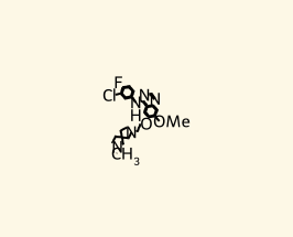 COc1cc2ncnc(Nc3ccc(F)c(Cl)c3)c2cc1OCCN1CCC2(CCN(C)C2)C1